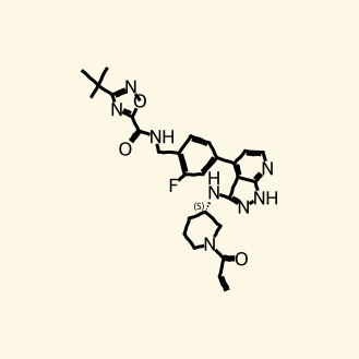 C=CC(=O)N1CCC[C@H](Nc2n[nH]c3nccc(-c4ccc(CNC(=O)c5nc(C(C)(C)C)no5)c(F)c4)c23)C1